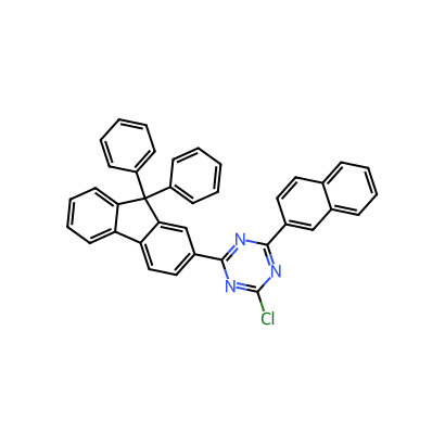 Clc1nc(-c2ccc3c(c2)C(c2ccccc2)(c2ccccc2)c2ccccc2-3)nc(-c2ccc3ccccc3c2)n1